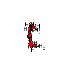 COc1c(OCCCN2CCN(C(=O)Oc3ccc(CC(=O)N4CCN(Cc5ccc(-n6c(O)nnc6-c6cc(C(C)C)c(O)cc6O)cc5)CC4)cc3)CC2)ccc2c1N=C(NC(=O)c1cnc(N)nc1)N1CCN=C21